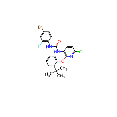 CC(C)(C)c1ccccc1Oc1nc(Cl)ccc1NC(=O)Nc1ccc(Br)cc1F